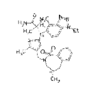 CCn1nnc2c(C)c([C@H](c3cc(CN4C[C@@H](C)Cc5ccccc5S4(=O)=O)c(C)s3)C(C)(C)C(N)=O)ccc21